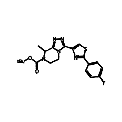 CC1c2nnc(-c3csc(-c4ccc(F)cc4)n3)n2CCN1C(=O)OC(C)(C)C